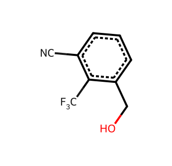 N#Cc1cccc(CO)c1C(F)(F)F